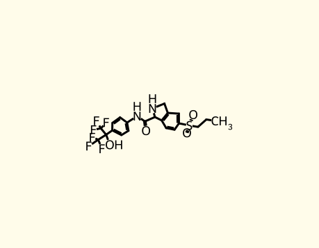 CCCS(=O)(=O)c1ccc2c(c1)CNC2C(=O)Nc1ccc(C(O)(C(F)(F)F)C(F)(F)F)cc1